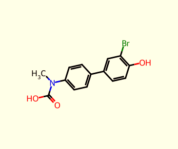 CN(C(=O)O)c1ccc(-c2ccc(O)c(Br)c2)cc1